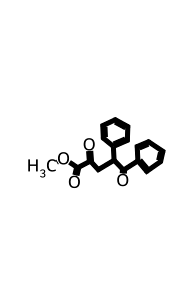 COC(=O)C(=O)CC(C(=O)c1ccccc1)c1ccccc1